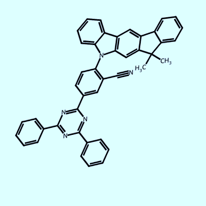 CC1(C)c2ccccc2-c2cc3c4ccccc4n(-c4ccc(-c5nc(-c6ccccc6)nc(-c6ccccc6)n5)cc4C#N)c3cc21